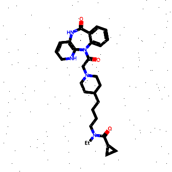 CCN(CCCCC1CCN(CC(=O)N2C3=C(C=CCN3)NC(=O)c3ccccc32)CC1)C(=O)C1CC1